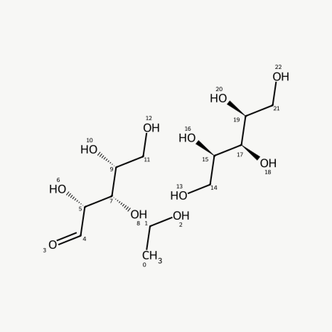 CCO.O=C[C@H](O)[C@@H](O)[C@H](O)CO.OC[C@@H](O)[C@H](O)[C@@H](O)CO